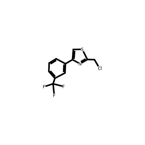 FC(F)(F)c1cccc(-c2csc(CCl)n2)c1